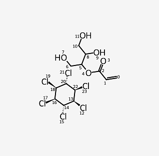 C=CC(=O)OC(CO)C(O)CO.Cl[C@H]1[C@H](Cl)[C@@H](Cl)[C@@H](Cl)[C@H](Cl)[C@H]1Cl